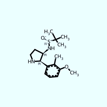 COc1cccc([C@H]2NCC[C@H]2N[S@+]([O-])C(C)(C)C)c1C